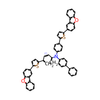 C=C(/C=C\C(=C)N(c1ccc(-c2ccccc2)cc1)c1ccc(-c2ccc(-c3ccc4oc5ccccc5c4c3)s2)cc1)c1ccc(-c2ccc3oc4ccccc4c3c2)s1